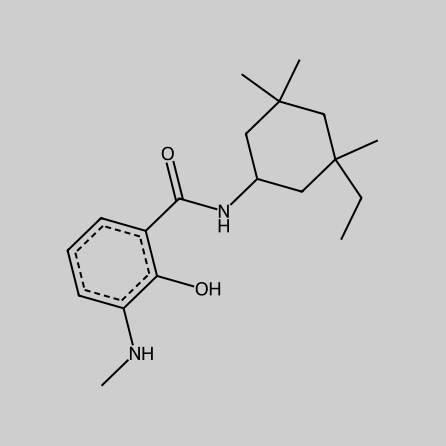 CCC1(C)CC(NC(=O)c2cccc(NC)c2O)CC(C)(C)C1